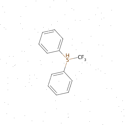 FC(F)(F)[SH](c1ccccc1)c1ccccc1